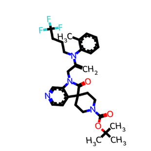 C=C(CN1C(=O)C2(CCN(C(=O)OC(C)(C)C)CC2)c2ccncc21)N(CCCC(F)(F)F)c1ccccc1C